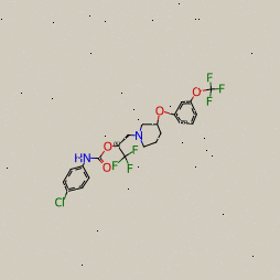 O=C(Nc1ccc(Cl)cc1)O[C@@H](CN1CCCC(Oc2cccc(OC(F)(F)F)c2)C1)C(F)(F)F